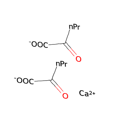 CCCC(=O)C(=O)[O-].CCCC(=O)C(=O)[O-].[Ca+2]